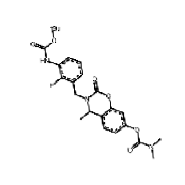 CC1c2ccc(OC(=O)N(C)C)cc2OC(=O)N1Cc1cccc(NC(=O)OC(C)(C)C)c1F